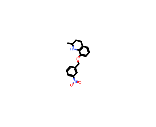 CC1CCc2cccc(OCc3cccc([N+](=O)[O-])c3)c2N1